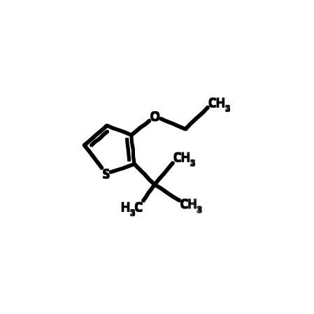 CCOc1ccsc1C(C)(C)C